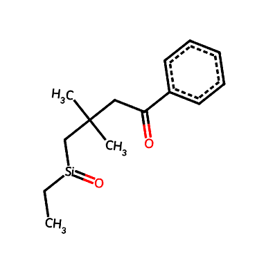 CC[Si](=O)CC(C)(C)CC(=O)c1ccccc1